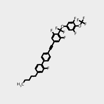 CCCCCc1ccc(-c2ccc(C#Cc3cc(F)c(C(F)(F)Oc4cc(F)c(OC(F)(F)F)c(F)c4)c(F)c3)cc2)c(F)c1